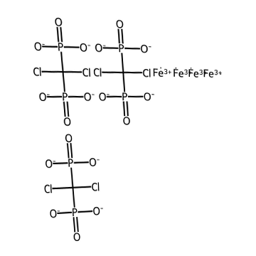 O=P([O-])([O-])C(Cl)(Cl)P(=O)([O-])[O-].O=P([O-])([O-])C(Cl)(Cl)P(=O)([O-])[O-].O=P([O-])([O-])C(Cl)(Cl)P(=O)([O-])[O-].[Fe+3].[Fe+3].[Fe+3].[Fe+3]